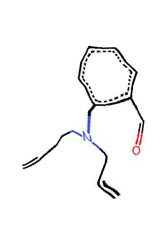 C=CCN(CC=C)c1ccccc1C=O